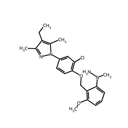 CCc1c(C)nn(-c2ccc(OCc3c(OC)cccc3N(C)N)c(Cl)c2)c1C